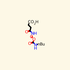 CCCCNC(=O)OONC(=O)CCC(=O)O